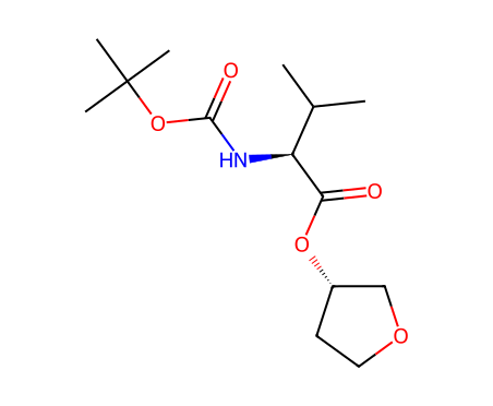 CC(C)[C@H](NC(=O)OC(C)(C)C)C(=O)O[C@H]1CCOC1